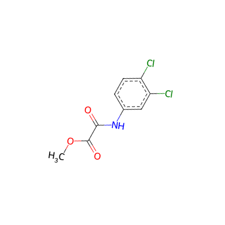 COC(=O)C(=O)Nc1ccc(Cl)c(Cl)c1